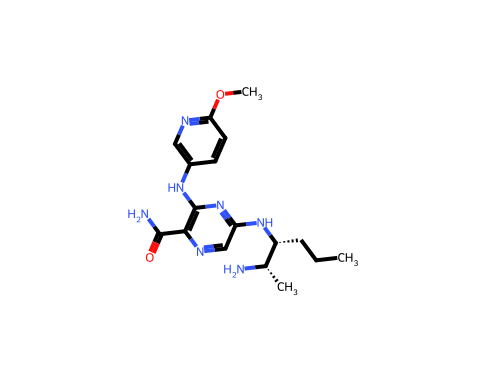 CCC[C@@H](Nc1cnc(C(N)=O)c(Nc2ccc(OC)nc2)n1)[C@H](C)N